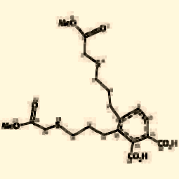 COC(=O)CSCCCc1ccc(C(=O)O)c(C(=O)O)c1CCCSCC(=O)OC